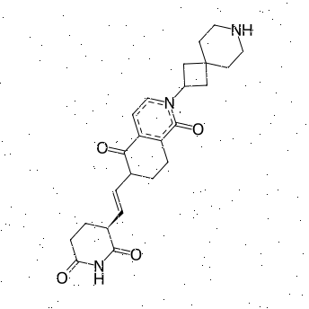 O=C1CC[C@@H](/C=C/C2CCc3c(ccn(C4CC5(CCNCC5)C4)c3=O)C2=O)C(=O)N1